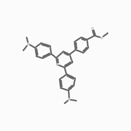 COC(=O)c1ccc(-c2cc(-c3ccc(N(C)C)cc3)nc(-c3ccc(N(C)C)cc3)c2)cc1